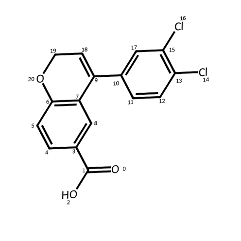 O=C(O)c1ccc2c(c1)C(c1ccc(Cl)c(Cl)c1)=CCO2